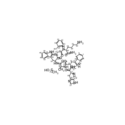 CC(=O)O.Cc1[nH]c2ccccc2c1C[C@@H](NC(=O)[C@@H](N)Cc1c[nH]cn1)C(=O)N[C@@H](C)C(=O)N[C@@H](Cc1c[nH]c2ccccc12)C(=O)N[C@H](Cc1ccccc1)C(=O)N[C@@H](CCCCN)C(N)=O